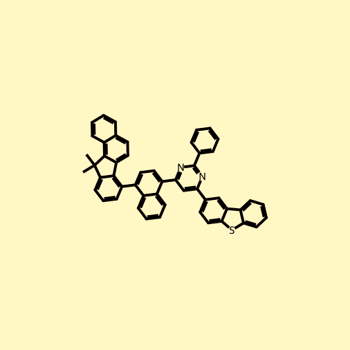 CC1(C)c2cccc(-c3ccc(-c4cc(-c5ccc6sc7ccccc7c6c5)nc(-c5ccccc5)n4)c4ccccc34)c2-c2ccc3ccccc3c21